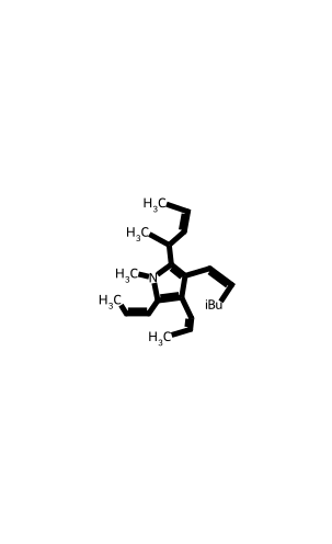 C/C=C\c1c(/C=C\C(C)CC)c(C(C)/C=C\C)n(C)c1/C=C\C